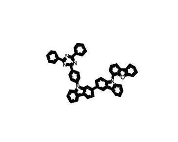 c1ccc(-c2nc(-c3ccccc3)nc(-c3ccc(-n4c5ccccc5c5ccc(-c6ccc7c(c6)c6ccccc6n7-c6cccc7c6oc6ccccc67)cc54)cc3)n2)cc1